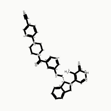 Cc1c(N2Cc3ccccc3[C@@H]2COc2cncc(C(=O)N3CCN(c4ccc(C#N)cn4)CC3)c2)cn[nH]c1=O